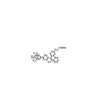 CC/C(=C(/c1ccc(OCCNC)cc1)c1ccc(B2OC(C)(C)C(C)(C)O2)cc1)c1ccccc1